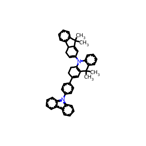 CC1(C)C2=CC(N3C4=C(C=C(c5ccc(-n6c7ccccc7c7ccccc76)cc5)CC4)C(C)(C)c4ccccc43)=CCC2c2ccccc21